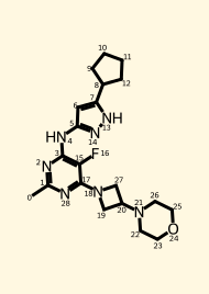 Cc1nc(Nc2cc(C3CCCC3)[nH]n2)c(F)c(N2CC(N3CCOCC3)C2)n1